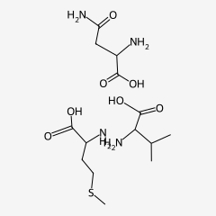 CC(C)C(N)C(=O)O.CSCCC(N)C(=O)O.NC(=O)CC(N)C(=O)O